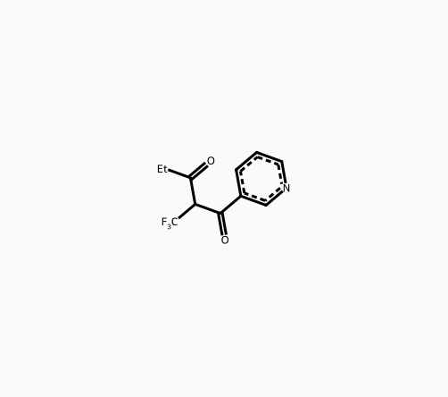 CCC(=O)C(C(=O)c1cccnc1)C(F)(F)F